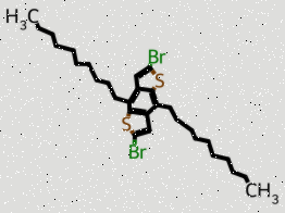 CCCCCCCCCCc1c2cc(Br)sc2c(CCCCCCCCCC)c2cc(Br)sc12